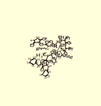 CC[C@H](C)[C@@H]([C@@H](CC(=O)N1CCC[C@H]1[C@H](OC)[C@@H](C)C(=O)N[C@@H](Cc1ccccc1)C(=O)NCc1ccccc1)OC)N(C)C(=O)[C@@H](NC(=O)[C@H](C(C)C)N(C)CCCC(=O)N[C@H](CC(C)C)C(=O)OC1C(=O)CCC1=O)C(C)C